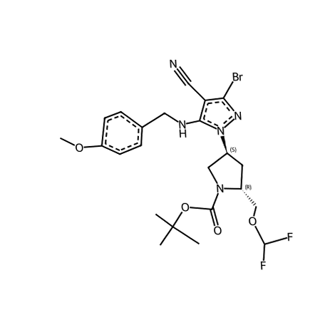 COc1ccc(CNc2c(C#N)c(Br)nn2[C@H]2C[C@H](COC(F)F)N(C(=O)OC(C)(C)C)C2)cc1